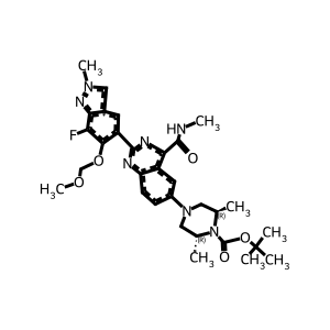 CNC(=O)c1nc(-c2cc3cn(C)nc3c(F)c2OCOC)nc2ccc(N3C[C@@H](C)N(C(=O)OC(C)(C)C)[C@H](C)C3)cc12